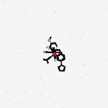 CO[C@H]1CC[C@]2(CC1)Cc1ccc(C3CCCC3)cc1C21C(=O)N(C(C)C)C(=O)N1N